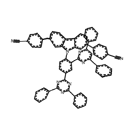 N#Cc1ccc(-c2ccc3c4ccc(-c5ccc(C#N)cc5)cc4n(-c4ccc(-c5nc(-c6ccccc6)nc(-c6ccccc6)n5)cc4-c4nc(-c5ccccc5)cc(-c5ccccc5)n4)c3c2)cc1